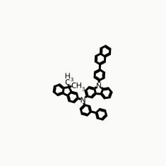 CC1(C)c2ccccc2-c2ccc(N(c3cccc(-c4ccccc4)c3)c3ccc4c(c3)c3ccccc3n4-c3ccc(-c4ccc5ccccc5c4)cc3)cc21